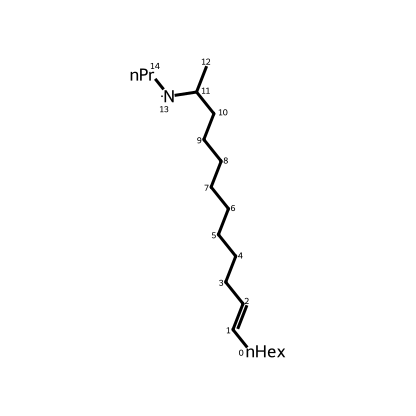 CCCCCCC=CCCCCCCCCC(C)[N]CCC